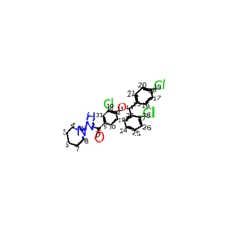 O=C(NN1CCCCC1)c1ccc(OC(c2ccc(Cl)cc2)c2ccccc2Cl)c(Cl)c1